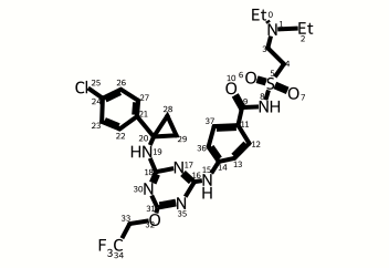 CCN(CC)CCS(=O)(=O)NC(=O)c1ccc(Nc2nc(NC3(c4ccc(Cl)cc4)CC3)nc(OCC(F)(F)F)n2)cc1